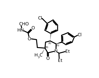 CCC(CC)N1C(=O)[C@@](C)(CCOC(=O)NC=O)C[C@H](c2cccc(Cl)c2)[C@H]1c1ccc(Cl)cc1